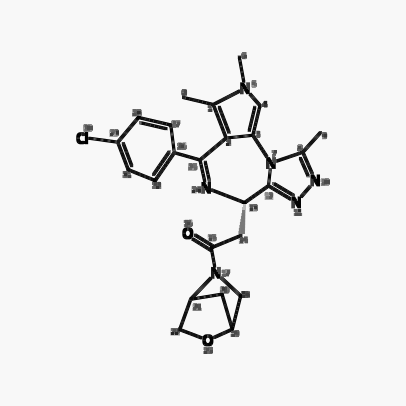 Cc1c2c(cn1C)-n1c(C)nnc1[C@H](CC(=O)N1CC3CC1CO3)N=C2c1ccc(Cl)cc1